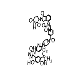 CC(C)c1cc(-c2nnc(O)n2-c2ccc(N3CCN(C(=O)c4ccc(CN(C(=O)O)c5cccc6c5CN(C5CCC(=O)NC5=O)C6=O)cc4)CC3)nc2)c(O)cc1O